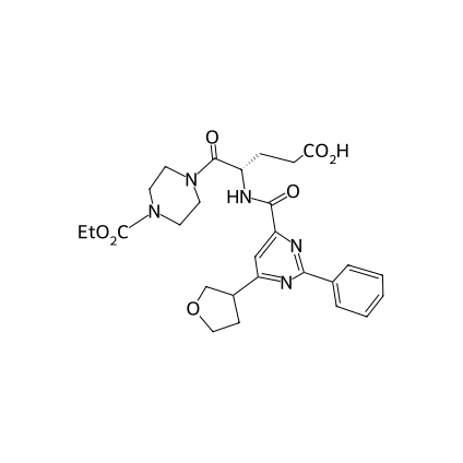 CCOC(=O)N1CCN(C(=O)[C@H](CCC(=O)O)NC(=O)c2cc(C3CCOC3)nc(-c3ccccc3)n2)CC1